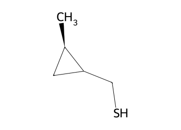 C[C@@H]1CC1CS